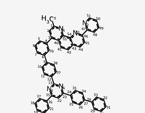 Cc1cc(-c2cccc(-c3ccc(-c4nc(-c5ccccc5)cc(-c5ccc(-c6ccccc6)cc5)n4)cc3)c2)c2ccc3ccc(-c4ccccn4)nc3c2n1